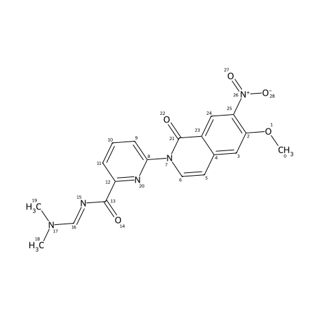 COc1cc2ccn(-c3cccc(C(=O)/N=C/N(C)C)n3)c(=O)c2cc1[N+](=O)[O-]